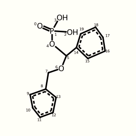 O=P(O)(O)OC(OCc1ccccc1)c1ccccc1